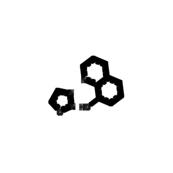 Oc1cccc2cccnc12.c1conn1